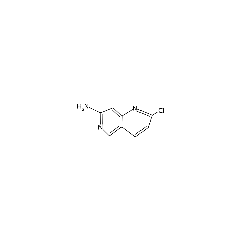 Nc1cc2nc(Cl)ccc2cn1